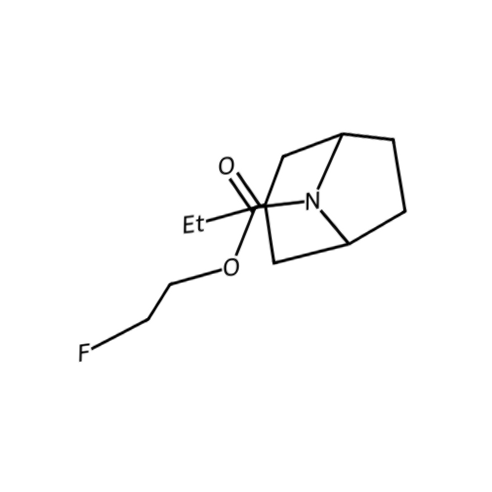 CCC1CC2CCC(C1)N2C(=O)OCCF